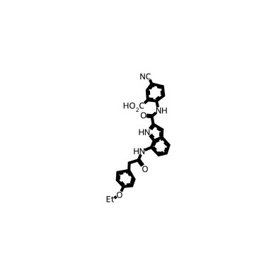 CCOc1ccc(CC(=O)Nc2cccc3cc(C(=O)Nc4ccc(C#N)cc4C(=O)O)[nH]c23)cc1